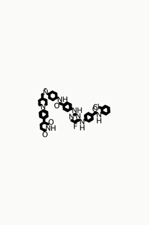 CN(CC1CCN(c2ccc(C3CCC(=O)NC3=O)cc2)CC1)C1CCC(NC(=O)c2ccc(Nc3ncc(F)c(Nc4ccc(C(=O)Nc5ccccc5Cl)cc4)n3)cc2)CC1